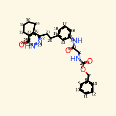 O=C(CNC(=O)OCc1ccccc1)Nc1cccc(CCc2n[nH]c(=O)c3c2CCCC3)c1